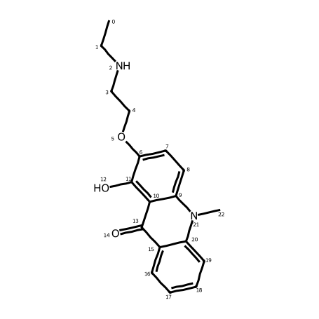 CCNCCOc1ccc2c(c1O)c(=O)c1ccccc1n2C